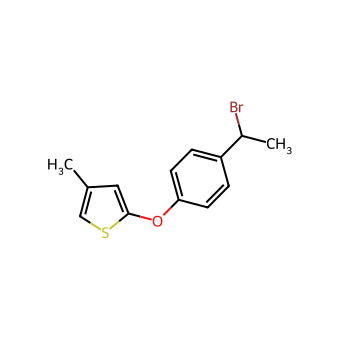 Cc1csc(Oc2ccc(C(C)Br)cc2)c1